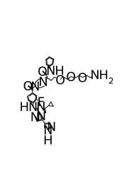 NCCOCCOCCOCCC(C(=O)Nc1ccccc1)N1CCN(C(=O)c2ccc(Nc3nc(C4CC4)cn4c(-c5cn[nH]c5)cnc34)c(F)c2)CC1